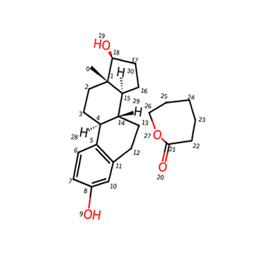 C[C@]12CC[C@@H]3c4ccc(O)cc4CC[C@H]3[C@@H]1CC[C@@H]2O.O=C1CCCCCO1